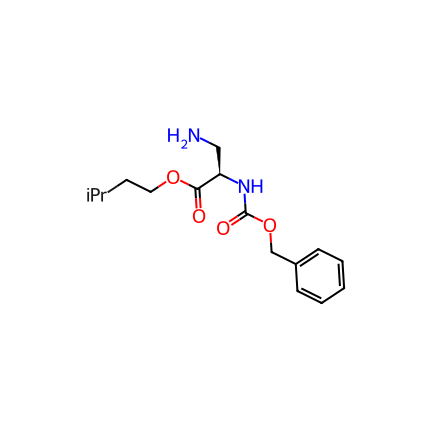 CC(C)CCOC(=O)[C@@H](CN)NC(=O)OCc1ccccc1